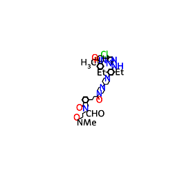 CCc1cc(N2CCC(N3CCN(C(=O)CCc4cccc5c4CN(C(C=O)CCC(=O)NC)C5=O)CC3)CC2)c(CC)cc1Nc1ncc(Cl)c(Nc2ccccc2P(C)(C)=O)n1